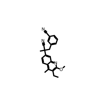 CCc1c(OC)nc2cc(C(C)(C#N)Cc3cccc(C#N)c3)ccc2c1C